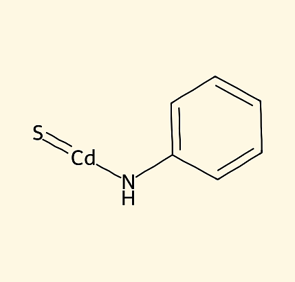 [S]=[Cd][NH]c1ccccc1